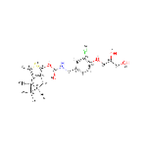 Cc1sc(OC(=O)NCc2ccc(OC[C@@H](O)CO)c(Cl)c2)c2c1[C@H]1[C@@H](C2)C1(C)C